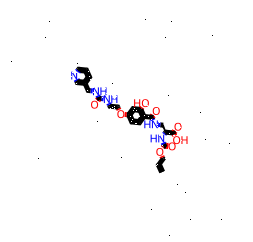 C=CCOC(=O)N[C@@H](CNC(=O)c1ccc(OCCNC(=O)NCc2cccnc2)cc1O)C(=O)O